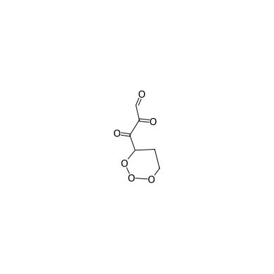 O=CC(=O)C(=O)C1CCOOO1